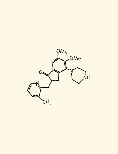 COc1cc2c(c(N3CCNCC3)c1OC)CC(Cc1ncccc1C)C2=O